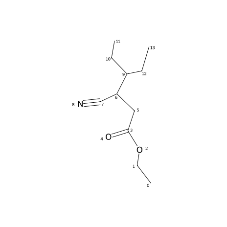 CCOC(=O)CC(C#N)C(CC)CC